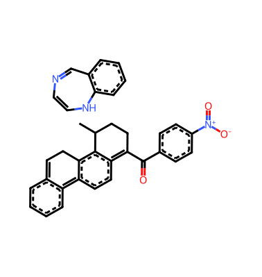 C1=CNc2ccccc2C=N1.CC1CCC(C(=O)c2ccc([N+](=O)[O-])cc2)=c2ccc3c(c21)CC=c1ccccc1=3